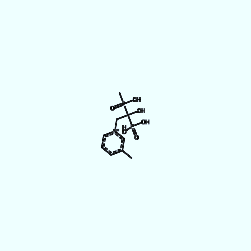 Cc1ccc[n+](CC(O)(P(C)(=O)O)P(=O)(O)O)c1